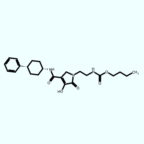 CCCCOC(=O)NCCN1CC(C(=O)N[C@H]2CC[C@@H](c3ccccc3)CC2)=C(O)C1=O